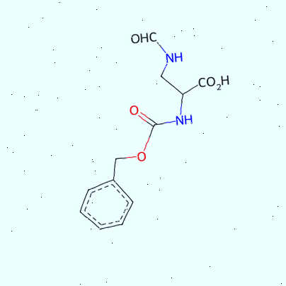 O=CNCC(NC(=O)OCc1ccccc1)C(=O)O